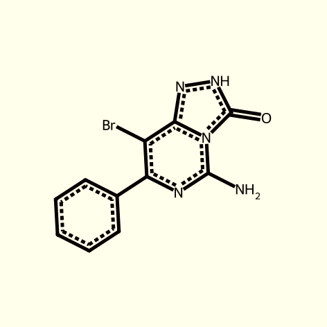 Nc1nc(-c2ccccc2)c(Br)c2n[nH]c(=O)n12